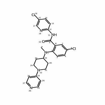 CN(c1ccc(Cl)cc1C(=O)Nc1ccc(Cl)cn1)C1CCN(c2ccncc2)CC1